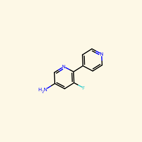 Nc1cnc(-c2ccncc2)c(F)c1